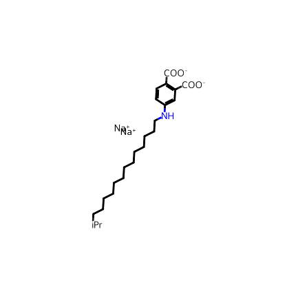 CC(C)CCCCCCCCCCCCCNc1ccc(C(=O)[O-])c(C(=O)[O-])c1.[Na+].[Na+]